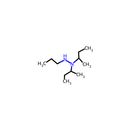 CCCNN(C(C)CC)C(C)CC